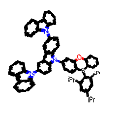 CC(C)c1cc(C(C)C)c(B2c3ccccc3Oc3cc(-n4c5ccc(-n6c7ccccc7c7ccccc76)cc5c5cc(-n6c7ccccc7c7ccccc76)ccc54)ccc32)c(C(C)C)c1